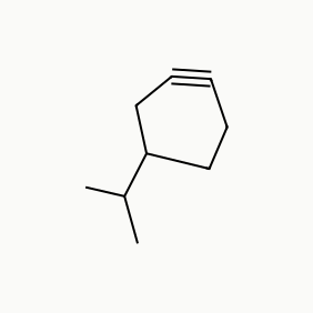 CC(C)C1CC#CCC1